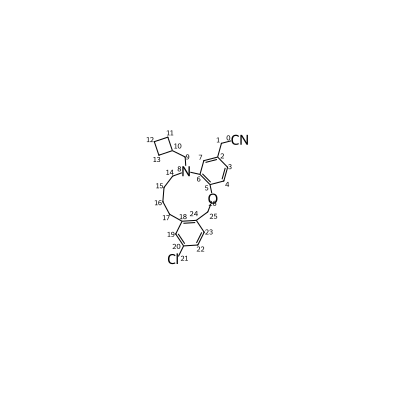 N#CCc1ccc2c(c1)N(CC1CCC1)CCCCc1cc(Cl)ccc1CO2